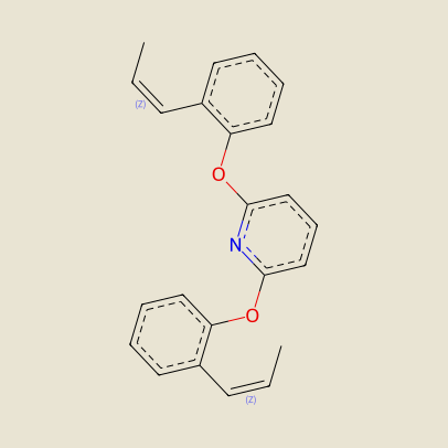 C/C=C\c1ccccc1Oc1cccc(Oc2ccccc2/C=C\C)n1